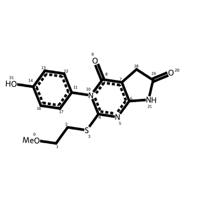 COCCSc1nc2c(c(=O)n1-c1ccc(O)cc1)CC(=O)N2